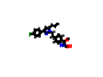 CCCc1cc(-c2ccc(F)cc2)nn1CCc1ccc(C(=O)NO)cc1